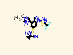 Cn1cnc(-c2cc(SNC3(C#N)CC3)cc3c2cnn3-c2nnc(C(F)F)s2)c1